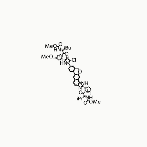 CC[C@@H](C)[C@H](NC(=O)OC)C(=O)N1C[C@@H](COC)C[C@H]1c1nc(Cl)c(-c2ccc3c(c2)COc2cc4c(ccc5nc([C@@H]6CC[C@H](C)N6C(=O)[C@@H](NC(=O)OC)C(C)C)[nH]c54)cc2-3)[nH]1